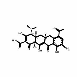 CC(=N)c1cc(N)c(O)c2c1C[C@H]1C[C@H]3[C@H](N(C)C)C(O)=C(C(N)=O)C(=O)[C@@]3(O)C(O)=C1C2=O